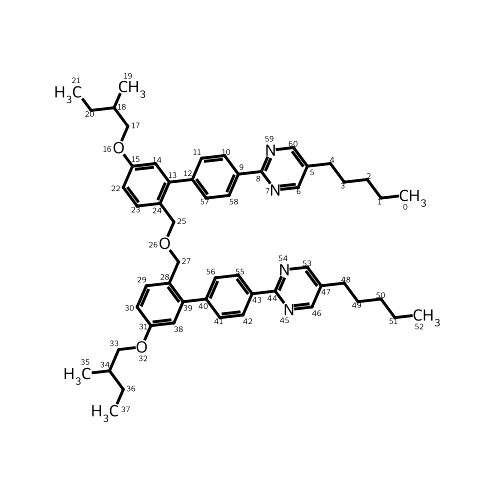 CCCCCc1cnc(-c2ccc(-c3cc(OCC(C)CC)ccc3COCc3ccc(OCC(C)CC)cc3-c3ccc(-c4ncc(CCCCC)cn4)cc3)cc2)nc1